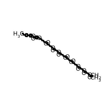 C=C(C)C(=O)OCCCCC(=O)OCCCCC(=O)OCCCCCC(=O)OCCCCC(=O)OCCCCCC(=O)OCCCCC(=O)OCCCCCC(=O)OCCCCCCOc1ccc(C(=O)Oc2ccc(C3CCC(CCC)CC3)cc2)cc1